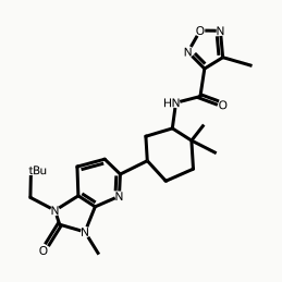 Cc1nonc1C(=O)NC1CC(c2ccc3c(n2)n(C)c(=O)n3CC(C)(C)C)CCC1(C)C